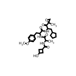 COc1ccc(CC(NC(=O)C(C)NC(=O)C2CC(O)C2)C(=O)NC(CC2CCCC2)C(=O)C2(C)CO2)cc1